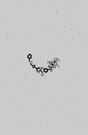 CC(C)(C)OC(=O)NS(=O)(=O)c1ccc(Nc2ncc(C3CC(COCc4ccccc4)C3)cn2)c(F)c1